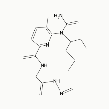 C=NNC(=C)CNC(=C)c1ccc(C)c(N(C(=C)N)C(CC)CCC)n1